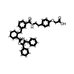 O=C(O)COc1ccc(CCNC(=O)c2cccc(CC3CCCC=C3c3nc(-c4ccccc4)c(-c4ccccc4)o3)c2)cc1